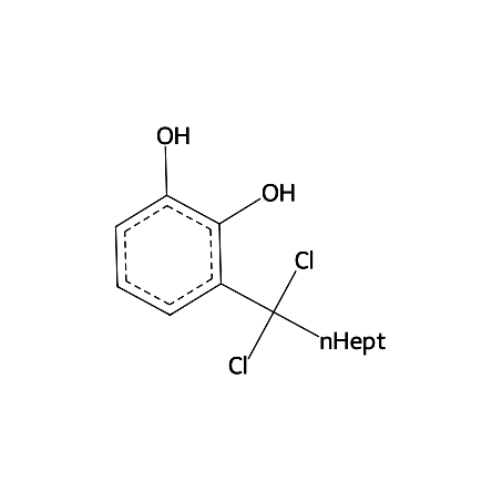 CCCCCCCC(Cl)(Cl)c1cccc(O)c1O